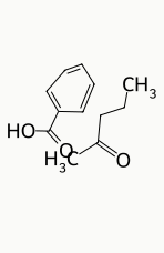 CCCC(C)=O.O=C(O)c1ccccc1